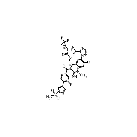 CNC(=N)N(C(=O)c1ccc(-c2cnn(S(C)(=O)=O)c2)c(F)c1)[C@H](COC(=O)N[C@H]1CC1(F)F)c1ccc(Cl)c(-n2ncnc2C(F)F)c1